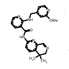 COc1cc(CNc2ncccc2C(=O)Nc2ccc3c(n2)C=NCC3(C)C)ccn1